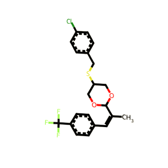 C/C(=C/c1ccc(C(F)(F)F)cc1)C1OCC(SCc2ccc(Cl)cc2)CO1